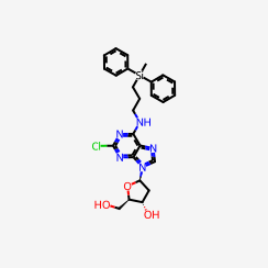 C[Si](CCCNc1nc(Cl)nc2c1ncn2[C@H]1C[C@H](O)[C@@H](CO)O1)(c1ccccc1)c1ccccc1